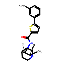 CC(=O)Nc1cccc(-c2ccc(C(=O)N[C@@H]3C4CCN(CC4)[C@H]3C)s2)c1